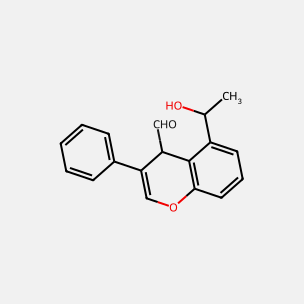 CC(O)c1cccc2c1C(C=O)C(c1ccccc1)=CO2